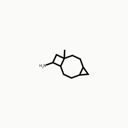 CC12CCC3CC3CCC1C(N)C2